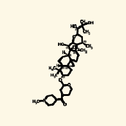 C[C@@H]1CC([C@H](O)C(C)(C)O)OC2C1[C@@]1(C)CCC34C[C@@]35CC[C@H](OC3CN(C(=O)C6CCN(C)CC6)CCO3)C(C)(C)[C@@H]5CC[C@H]4C1(C)[C@H]2O